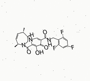 C[C@@H]1C=C[C@H](C)N2C[C@H]1n1cc(C(=O)NCc3c(F)cc(F)cc3F)c(=O)c(O)c1C2=O